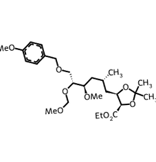 CCOC(=O)[C@@H]1OC(C)(C)O[C@@H]1C[C@@H](C)C[C@@H](OC)[C@@H](COCc1ccc(OC)cc1)OCOC